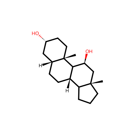 C[C@@]12CCCC1[C@@H]1CC[C@@H]3C[C@H](O)CC[C@]3(C)C1[C@@H](O)C2